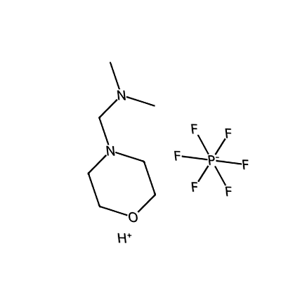 CN(C)CN1CCOCC1.F[P-](F)(F)(F)(F)F.[H+]